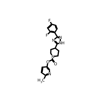 Cc1ccc(OC(=O)N2CCC(c3nc(-c4ccc(F)cc4F)n[nH]3)CC2)cn1